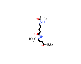 CNC(=O)CC[C@H](NC(=O)CCCCNC(=O)C(=O)O)C(=O)O